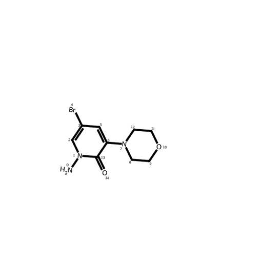 Nn1cc(Br)cc(N2CCOCC2)c1=O